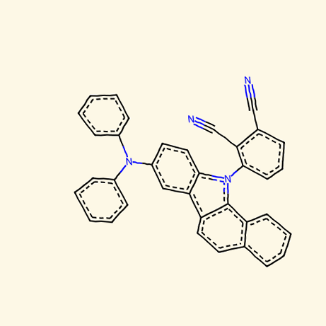 N#Cc1cccc(-n2c3ccc(N(c4ccccc4)c4ccccc4)cc3c3ccc4ccccc4c32)c1C#N